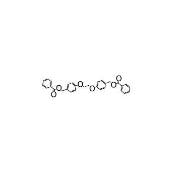 O=C(OCc1ccc(OCCOc2ccc(COC(=O)c3ccccc3)cc2)cc1)c1ccccc1